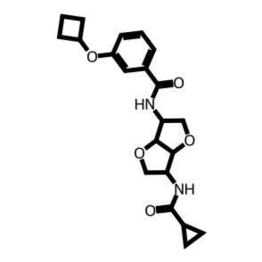 O=C(NC1COC2C(NC(=O)C3CC3)COC12)c1cccc(OC2CCC2)c1